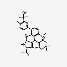 COc1ccc(-c2ccc(C)c(C(C)(C)O)n2)c(C)c1[C@H]1C2=C(CC(C)(C)CC2=O)OC2=C1C(=O)N(C)[C@@H]2C(C)C